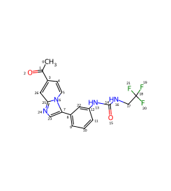 CC(=O)c1ccn2c(-c3cccc(NC(=O)NCC(F)(F)F)c3)cnc2c1